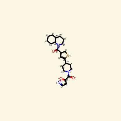 O=C(c1ccno1)N1CCC(C2=CC(C(=O)N3CCCC4CCCCC43)CS2)CC1